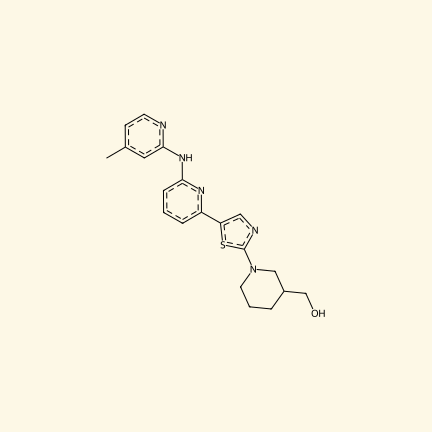 Cc1ccnc(Nc2cccc(-c3cnc(N4CCCC(CO)C4)s3)n2)c1